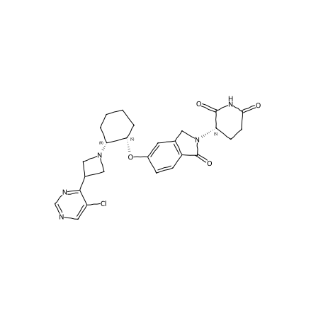 O=C1CC[C@H](N2Cc3cc(O[C@H]4CCCC[C@H]4N4CC(c5ncncc5Cl)C4)ccc3C2=O)C(=O)N1